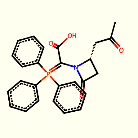 CC(=O)C[C@@H]1CC(=O)N1C(C(=O)O)=P(c1ccccc1)(c1ccccc1)c1ccccc1